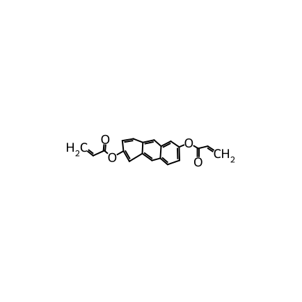 C=CC(=O)Oc1ccc2cc3cc(OC(=O)C=C)ccc3cc2c1